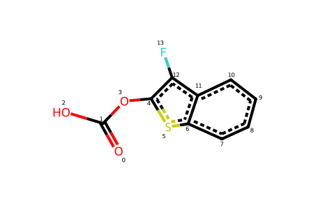 O=C(O)Oc1sc2ccccc2c1F